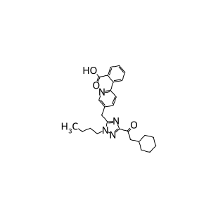 CCCCn1nc(C(=O)CC2CCCCC2)nc1Cc1ccc(-c2ccccc2C(=O)O)nc1